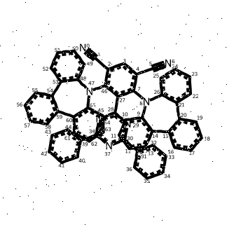 N#Cc1cc(C#N)c(N2c3ccccc3-c3ccccc3-c3ccccc32)c(-c2nc(-c3ccccc3)nc(-c3ccccc3)n2)c1N1c2ccccc2-c2ccccc2-c2ccccc21